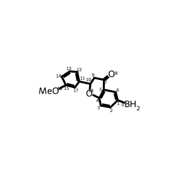 Bc1ccc2c(c1)C(=O)CC(c1cccc(OC)c1)O2